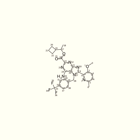 COc1ccc(C)nc1-c1nc2nc(C(=O)OC(C)C3CCC3)nc(N)c2n1Cc1ccc(C(F)(F)F)cc1